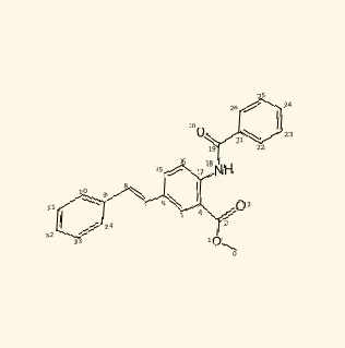 COC(=O)c1cc(/C=C/c2ccccc2)ccc1NC(=O)c1ccccc1